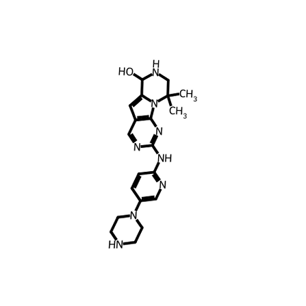 CC1(C)CNC(O)c2cc3cnc(Nc4ccc(N5CCNCC5)cn4)nc3n21